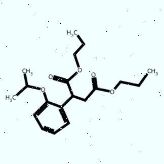 CCCOC(=O)CC(C(=O)OCCC)c1ccccc1OC(C)C